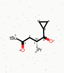 CC(C)[C@H](CC(=O)C(C)(C)C)C(=O)C1CC1